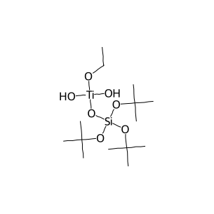 CC[O][Ti]([OH])([OH])[O][Si](OC(C)(C)C)(OC(C)(C)C)OC(C)(C)C